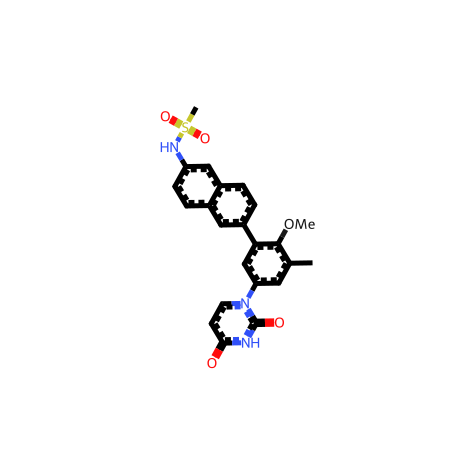 COc1c(C)cc(-n2ccc(=O)[nH]c2=O)cc1-c1ccc2cc(NS(C)(=O)=O)ccc2c1